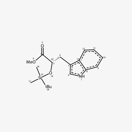 COC(=O)[C@H](Cc1c[nH]c2ccccc12)O[Si](C)(C)C(C)(C)C